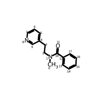 CN(CCc1cccnc1)C(=O)c1ccccc1